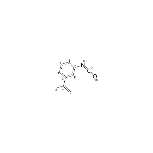 C=C(C)c1cccc(N=C=O)c1